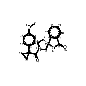 COc1ccc(C2(C(=O)N3CC[C@@]4(C3)OC(=O)c3ccccc34)CC2)cc1